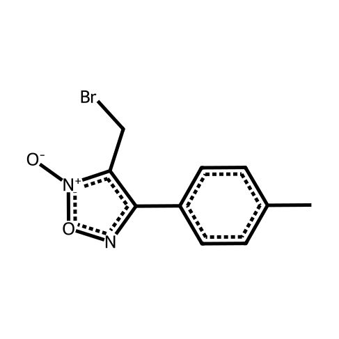 Cc1ccc(-c2no[n+]([O-])c2CBr)cc1